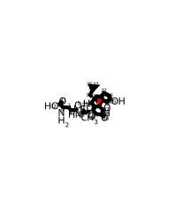 CC(C)(NC(=O)CCC(N)C(=O)O)C(=O)O[C@@]12CCC(=O)[C@@H]3Oc4c(O)ccc5c4[C@@]31CCN(CC1CC1)[C@@H]2C5